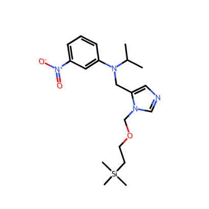 CC(C)N(Cc1cncn1COCC[Si](C)(C)C)c1cccc([N+](=O)[O-])c1